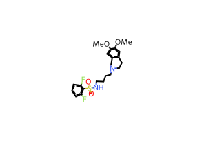 COc1cc2c(cc1OC)CN(CCCCNS(=O)(=O)c1c(F)cccc1F)CC2